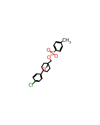 Cc1ccc(S(=O)(=O)OCC23CCC(c4ccc(Cl)cc4)(CC2)OC3)cc1